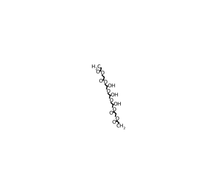 C=CC(=O)OCCC(=O)OCC(O)COCC(O)COCC(O)COC(=O)CCOC(=O)C=C